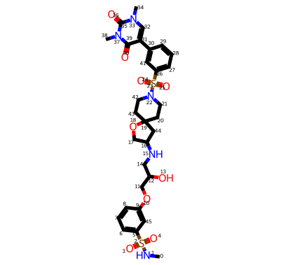 CNS(=O)(=O)c1cccc(OCC(O)CNC2COC3(CCN(S(=O)(=O)c4cccc(-c5cn(C)c(=O)n(C)c5=O)c4)CC3)C2)c1